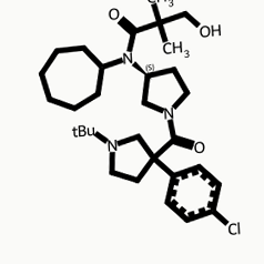 CC(C)(CO)C(=O)N(C1CCCCCC1)[C@H]1CCN(C(=O)C2(c3ccc(Cl)cc3)CCN(C(C)(C)C)C2)C1